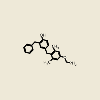 Cc1cc(OCP)cc(C)c1Cc1ccc(O)c(Cc2ccccc2)c1